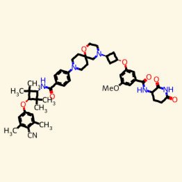 COc1cc(O[C@H]2C[C@H](N3CCOC4(CCN(c5ccc(C(=O)N[C@H]6C(C)(C)[C@H](Oc7cc(C)c(C#N)c(C)c7)C6(C)C)cc5)CC4)C3)C2)cc(C(=O)NC2CCC(=O)NC2=O)c1